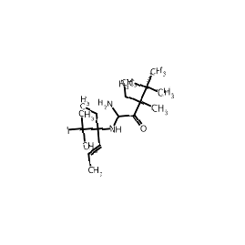 CC=CC(CC)(NC(N)C(=O)C(C)(CC)C(C)(C)C)C(C)(C)I